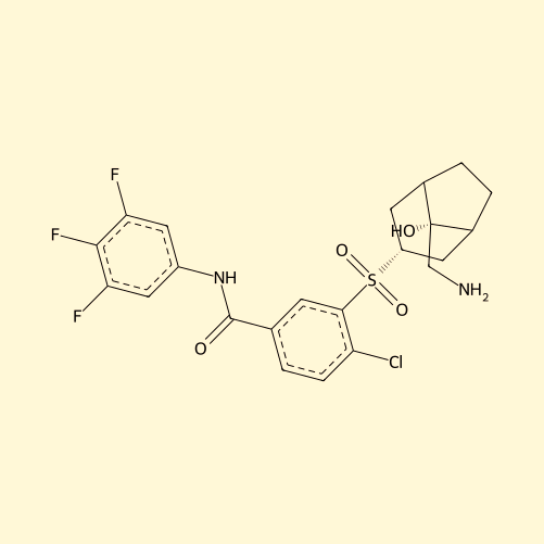 NC[C@]1(O)C2CCC1C[C@@H](S(=O)(=O)c1cc(C(=O)Nc3cc(F)c(F)c(F)c3)ccc1Cl)C2